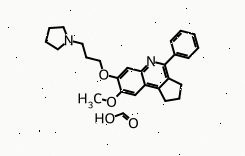 COc1cc2c3c(c(-c4ccccc4)nc2cc1OCCCN1CCCC1)CCC3.O=CO